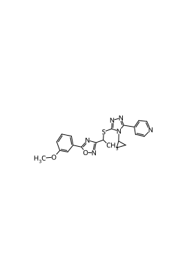 COc1cccc(-c2nc(C(C)Sc3nnc(-c4ccncc4)n3C3CC3)no2)c1